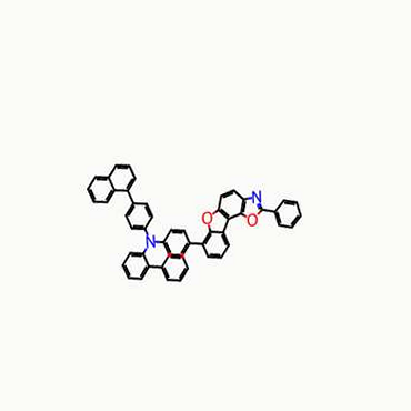 c1ccc(-c2nc3ccc4oc5c(-c6ccc(N(c7ccc(-c8cccc9ccccc89)cc7)c7ccccc7-c7ccccc7)cc6)cccc5c4c3o2)cc1